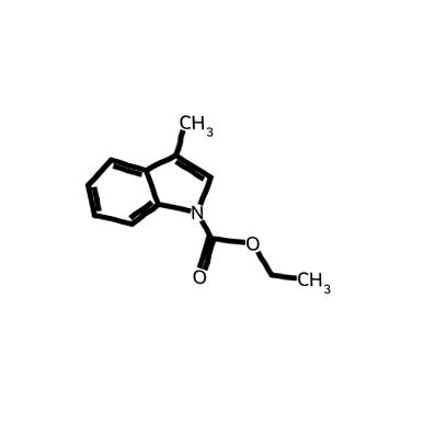 CCOC(=O)n1cc(C)c2ccccc21